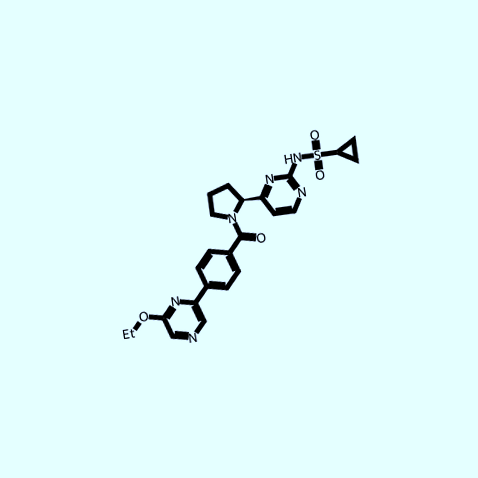 CCOc1cncc(-c2ccc(C(=O)N3CCC[C@H]3c3ccnc(NS(=O)(=O)C4CC4)n3)cc2)n1